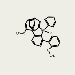 COc1ccccc1-c1cccc(-c2ccccc2OC)c1[PH]([Pd])(c1ccccc1)c1ccccc1